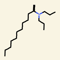 C=C(CCCCCCCCCC)N(CCC)CCC